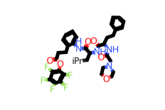 CC(C)CC(NC(=O)C(CCc1ccccc1)NC(=O)CN1CCOCC1)C(=O)Nc1ccccc1CCC(=O)Oc1c(F)c(F)c(F)c(F)c1F